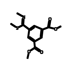 C/N=C(\SC)c1cc(C(=O)OC)cc(C(=O)OC)c1